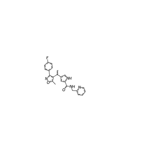 C=C(c1c[nH]c(C(=O)NCc2ccccn2)c1)c1c(-c2ccc(F)cc2)noc1C